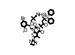 COc1ccc(Br)cc1[C@H](Cn1c(=O)n(C(C)(C)C(=O)CC(C)(C)[Si](O)(c2ccccc2)c2ccccc2)c(=O)c2c(C)c(-n3nccn3)sc21)OCC(C)(C)C#N